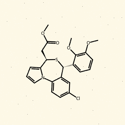 COC(=O)C[C@H]1S[C@H](c2cccc(OC)c2OC)c2cc(Cl)ccc2-n2cccc21